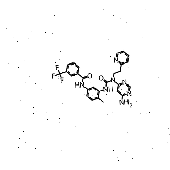 Cc1ccc(NC(=O)c2cccc(C(F)(F)F)c2)cc1NC(=O)N(CCc1ccccn1)c1cc(N)ncn1